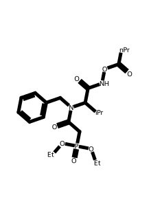 CCCC(=O)ONC(=O)C(C(C)C)N(Cc1ccccc1)C(=O)CP(=O)(OCC)OCC